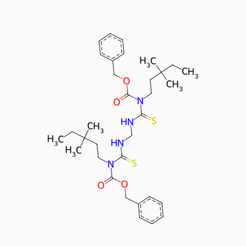 CCC(C)(C)CCN(C(=O)OCc1ccccc1)C(=S)NCNC(=S)N(CCC(C)(C)CC)C(=O)OCc1ccccc1